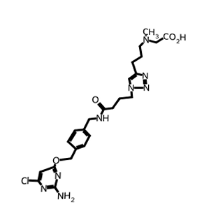 CN(CCCc1cn(CCCC(=O)NCc2ccc(COc3cc(Cl)nc(N)n3)cc2)nn1)CC(=O)O